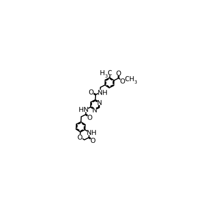 COC(=O)c1ccc(CNC(=O)c2cc(NC(=O)Cc3ccc4c(c3)NC(=O)CO4)ncn2)cc1C